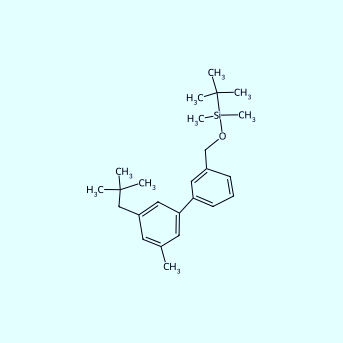 Cc1cc(CC(C)(C)C)cc(-c2cccc(CO[Si](C)(C)C(C)(C)C)c2)c1